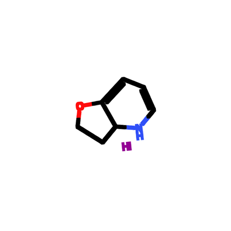 C1=CNC2CCOC2=C1.I